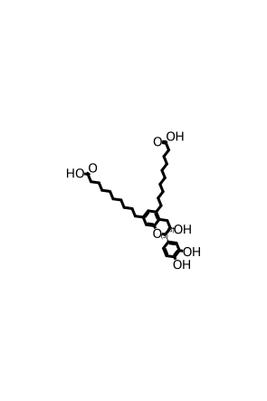 O=C(O)CCCCCCCCCc1cc(CCCCCCCCCC(=O)O)c2c(c1)O[C@@H](c1ccc(O)c(O)c1)[C@@H](O)C2